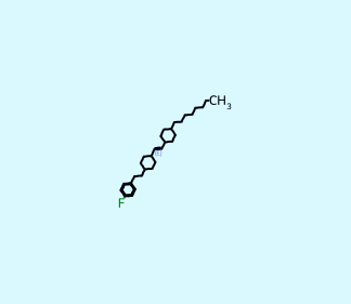 CCCCCCCCC1CCC(/C=C/C2CCC(CCc3ccc(F)cc3)CC2)CC1